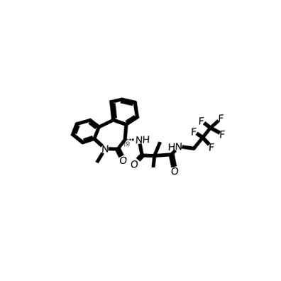 CN1C(=O)[C@@H](NC(=O)C(C)(C)C(=O)NCC(F)(F)C(F)(F)F)c2ccccc2-c2ccccc21